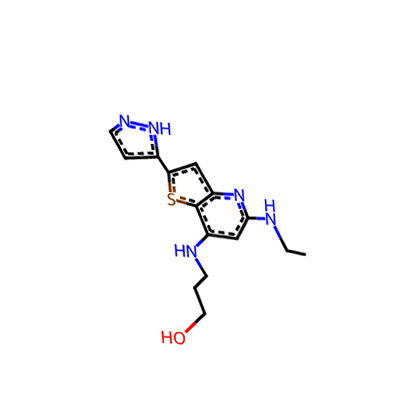 CCNc1cc(NCCCO)c2sc(-c3ccn[nH]3)cc2n1